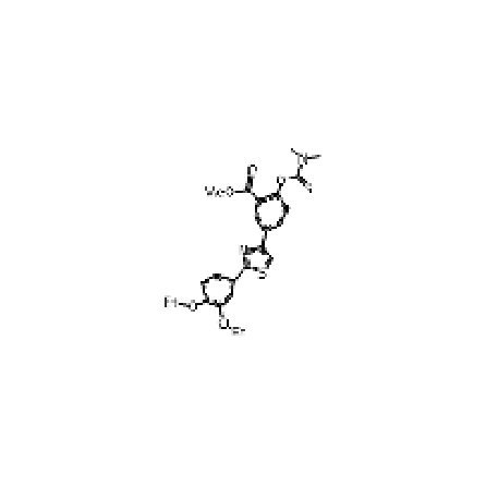 CCOc1ccc(-c2nc(-c3ccc(OC(=S)N(C)C)c(C(=O)OC)c3)cs2)cc1OCC